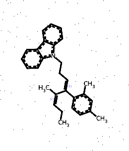 CC/C=C(C)\C(=C/CCn1c2ccccc2c2ccccc21)c1ccc(C)cc1C